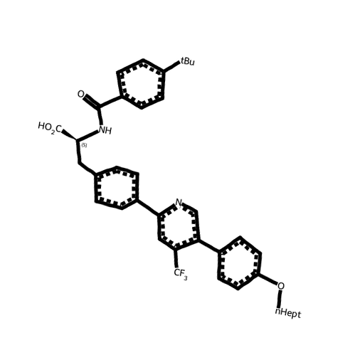 CCCCCCCOc1ccc(-c2cnc(-c3ccc(C[C@H](NC(=O)c4ccc(C(C)(C)C)cc4)C(=O)O)cc3)cc2C(F)(F)F)cc1